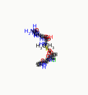 CC(C)(CSSCCOC(=O)Oc1cc2c(c3ccccc13)C(CCl)CN2C(=O)c1cc2cc(NC(=O)c3cc4ccccc4[nH]3)ccc2[nH]1)NCCC[C@@H](NC(=O)c1ccc(NCc2cnc3nc(N)[nH]c(=O)c3n2)cc1)C(=O)O